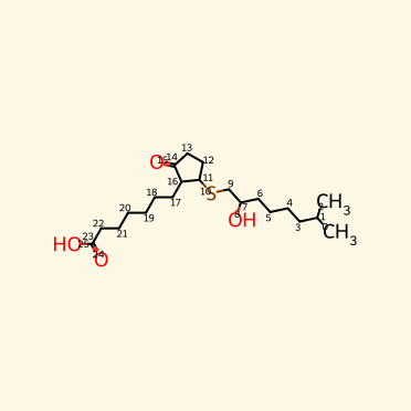 CC(C)CCCCC(O)CSC1CCC(=O)C1CCCCCCC(=O)O